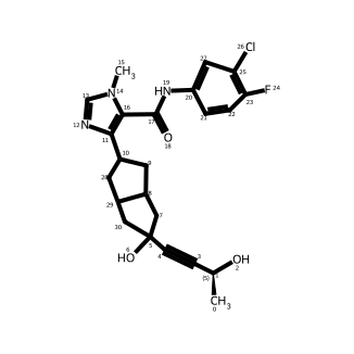 C[C@H](O)C#CC1(O)CC2CC(c3ncn(C)c3C(=O)Nc3ccc(F)c(Cl)c3)CC2C1